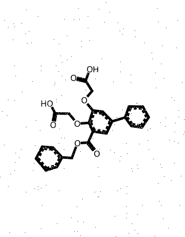 O=C(O)COc1cc(-c2ccccc2)cc(C(=O)OCc2ccccc2)c1OCC(=O)O